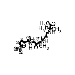 CC(=O)C(C)(C)NCCONC(C)(C)C(=O)CNC(=O)c1ccc([N+](=O)[O-])o1